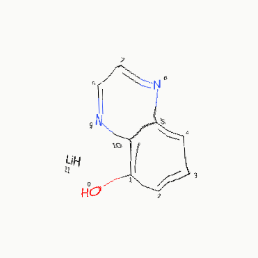 Oc1cccc2nccnc12.[LiH]